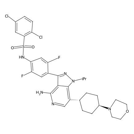 CC(C)n1nc(-c2cc(F)c(NS(=O)(=O)c3cc(Cl)ccc3Cl)cc2F)c2c(N)ncc([C@H]3CC[C@H](N4CCOCC4)CC3)c21